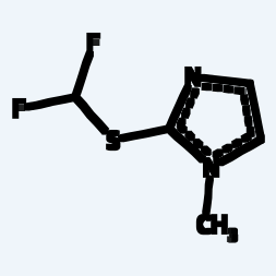 Cn1ccnc1SC(F)F